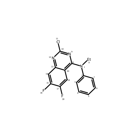 CCN(c1ccccc1)c1nc(Cl)nc2cc(F)c(F)cc12